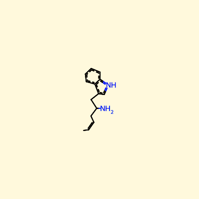 C/C=C\CC(N)Cc1c[nH]c2ccccc12